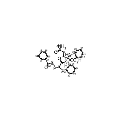 NC(=O)CC[C@@](NC(=O)C(CSC(=O)c1ccccc1)Cc1ccccc1)(Nc1ccccc1)C(=O)O